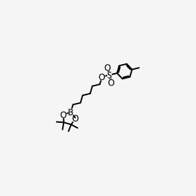 Cc1ccc(S(=O)(=O)OCCCCCCB2OC(C)(C)C(C)(C)O2)cc1